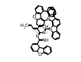 C=C/C=C(C=C)/C(=N/C(=N)C1=CC=CC2Oc3ccccc3C12)/N=C/n1c2ccccc2c2ccc3c4ccccc4n(C4=C5c6c(cccc6-c6ccccc6)OC5CC=C4)c3c21